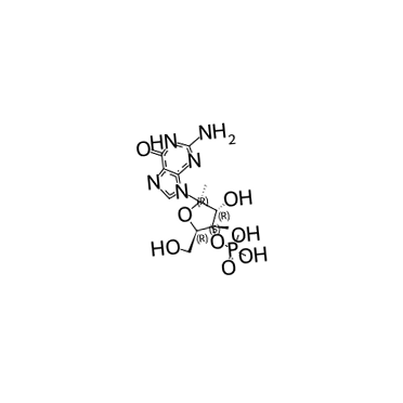 C[C@]1(OP(=O)(O)O)[C@@H](O)[C@](C)(n2cnc3c(=O)[nH]c(N)nc32)O[C@@H]1CO